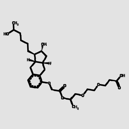 CC(O)CCCC[C@@H]1[C@H]2Cc3cccc(OCC(=O)OC(C)COCCOCCC(=O)O)c3C[C@H]2C[C@H]1O